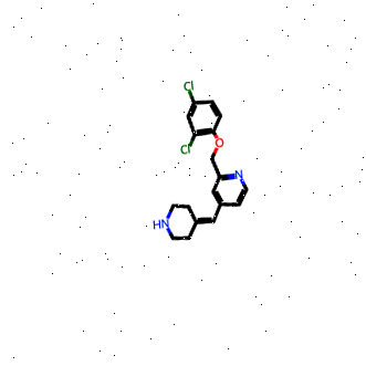 Clc1ccc(OCc2cc(C=C3CCNCC3)ccn2)c(Cl)c1